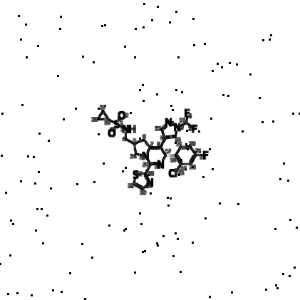 O=S(=O)(NCC1CC2=C(c3cnn(C(F)F)c3)[C@H](c3ccc(F)cc3Cl)N=C(c3nccs3)N2C1)C1CC1